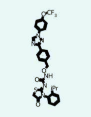 CC(C)c1ccccc1N1C(=O)CS/C1=N\C(=O)NOCc1ccc(-c2ncn(-c3ccc(OC(F)(F)F)cc3)n2)cc1